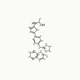 CC(O)Nc1ncc(-c2ccc(CN3CCC[C@@H]3C3(C)C=CC4=C(C3)OCCO4)cc2)s1